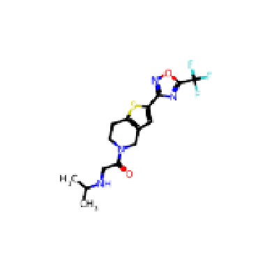 CC(C)NCC(=O)N1CCc2sc(-c3noc(C(F)(F)F)n3)cc2C1